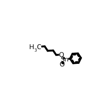 CCCCC[O][Sn](=[O])[c]1ccccc1